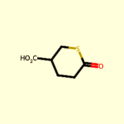 O=C1CCC(C(=O)O)CS1